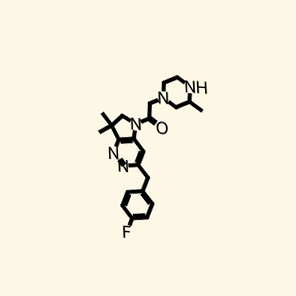 CC1CN(CC(=O)N2CC(C)(C)c3nnc(Cc4ccc(F)cc4)cc32)CCN1